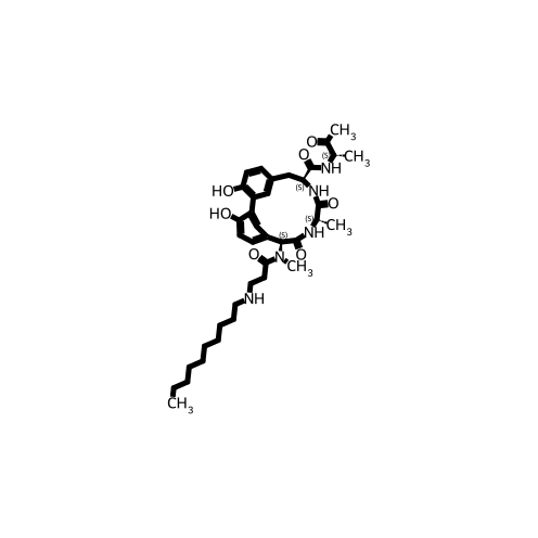 CCCCCCCCCCNCCC(=O)N(C)[C@@H]1C(=O)N[C@@H](C)C(=O)N[C@H](C(=O)N[C@@H](C)C(C)=O)Cc2ccc(O)c(c2)-c2cc1ccc2O